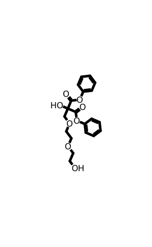 O=C(Oc1ccccc1)C(O)(COCCOCCO)C(=O)Oc1ccccc1